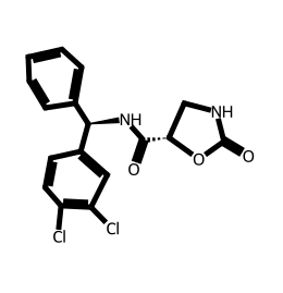 O=C1NC[C@@H](C(=O)N[C@H](c2ccccc2)c2ccc(Cl)c(Cl)c2)O1